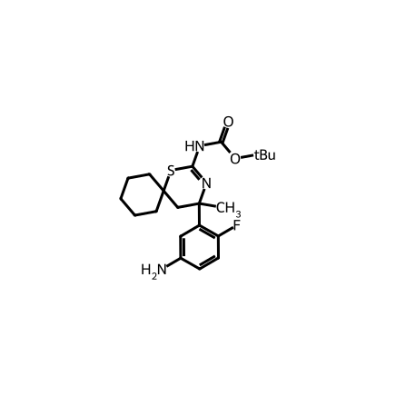 CC(C)(C)OC(=O)NC1=NC(C)(c2cc(N)ccc2F)CC2(CCCCC2)S1